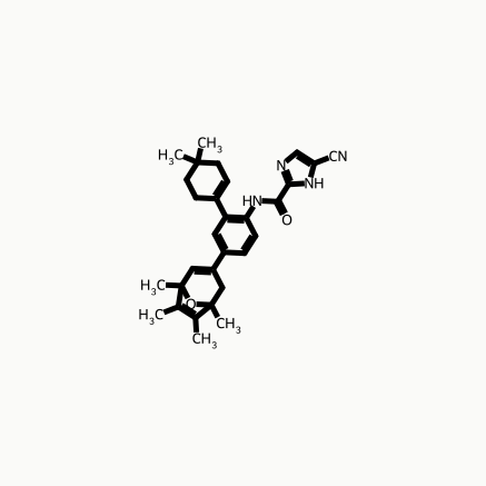 CC1=C(C)C2(C)CC(c3ccc(NC(=O)c4ncc(C#N)[nH]4)c(C4=CCC(C)(C)CC4)c3)=CC1(C)O2